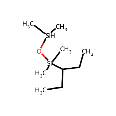 CCC(CC)[Si](C)(C)O[SiH](C)C